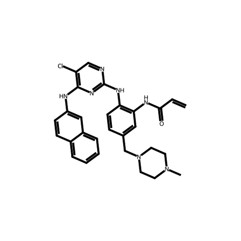 C=CC(=O)Nc1cc(CN2CCN(C)CC2)ccc1Nc1ncc(Cl)c(Nc2ccc3ccccc3c2)n1